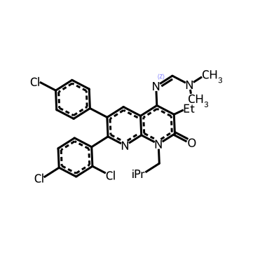 CCc1c(/N=C\N(C)C)c2cc(-c3ccc(Cl)cc3)c(-c3ccc(Cl)cc3Cl)nc2n(CC(C)C)c1=O